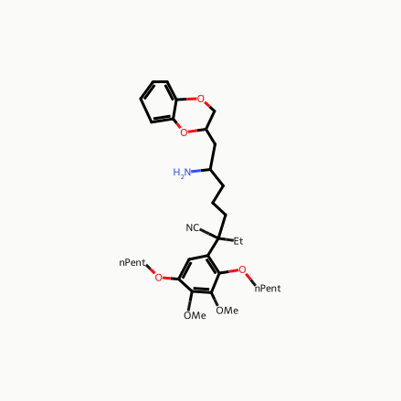 CCCCCOc1cc(C(C#N)(CC)CCCC(N)CC2COc3ccccc3O2)c(OCCCCC)c(OC)c1OC